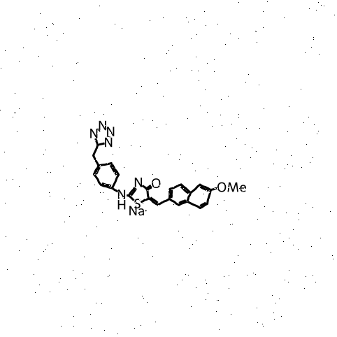 COc1ccc2cc(C=C3SC(Nc4ccc(CC5N=NN=N5)cc4)=NC3=O)ccc2c1.[Na]